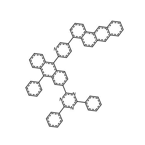 c1ccc(-c2nc(-c3ccccc3)nc(-c3ccc4c(-c5ccc(-c6cccc7c6ccc6cc8ccccc8cc67)cn5)c5ccccc5c(-c5ccccc5)c4c3)n2)cc1